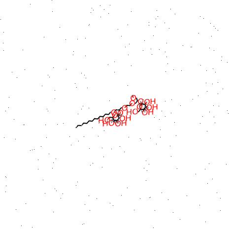 CCCCCCCCCCCCCCOCC(COCCOCC(COC)O[C@@H]1OC(CO)[C@@H](O)[C@H](O)C1O)O[C@@H]1OC(CO)[C@@H](O)[C@H](O)C1O